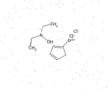 CCN(O)CC.[Cl-].[Cl-].[Zr+2][C]1=CC=CC1